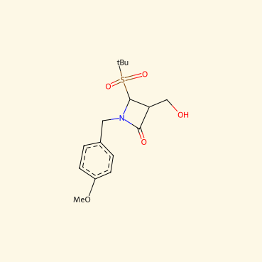 COc1ccc(CN2C(=O)C(CO)C2S(=O)(=O)C(C)(C)C)cc1